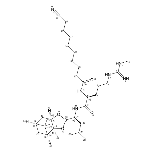 CNC(=N)NCCC[C@H](NC(=O)CCCCCCCCC#N)C(=O)N[C@@H](CC(C)C)B1O[C@@H]2C[C@@H]3C[C@@H](C3(C)C)[C@]2(C)O1